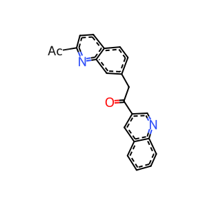 CC(=O)c1ccc2ccc(CC(=O)c3cnc4ccccc4c3)cc2n1